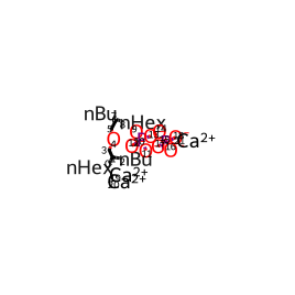 CCCCCCC(CCCC)COCC(CCCC)CCCCCC.O=P([O-])([O-])[O-].O=P([O-])([O-])[O-].[Ca+2].[Ca+2].[Ca+2]